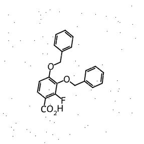 O=C(O)c1ccc(OCc2ccccc2)c(OCc2ccccc2)c1F